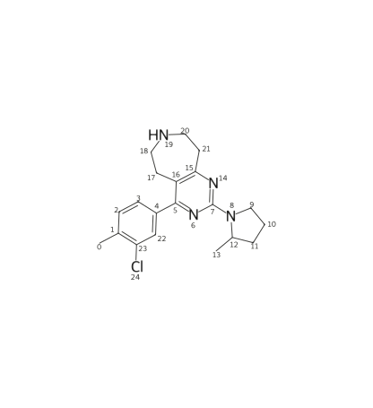 Cc1ccc(-c2nc(N3CCCC3C)nc3c2CCNCC3)cc1Cl